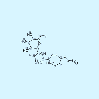 CSC1OC(C(NC(=O)C2CCC(CCC=O)CCN2)C(C)Cl)C(O)C(O)C1O